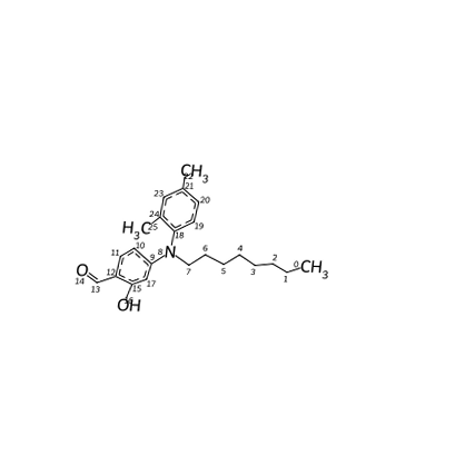 CCCCCCCCN(c1ccc(C=O)c(O)c1)c1ccc(C)cc1C